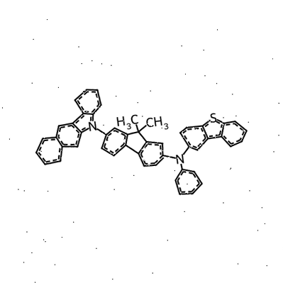 CC1(C)c2cc(N(c3ccccc3)c3ccc4sc5ccccc5c4c3)ccc2-c2ccc(-n3c4ccccc4c4cc5ccccc5cc43)cc21